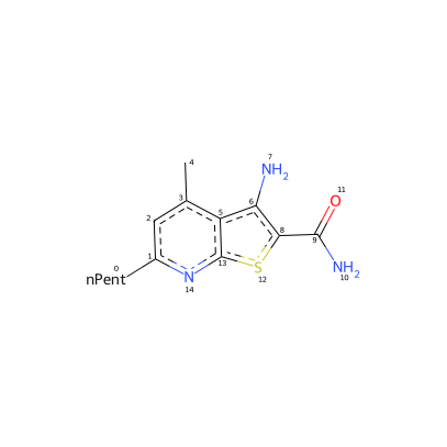 CCCCCc1cc(C)c2c(N)c(C(N)=O)sc2n1